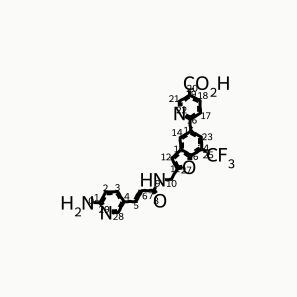 Nc1ccc(/C=C/C(=O)NCc2cc3cc(-c4ccc(C(=O)O)cn4)cc(C(F)(F)F)c3o2)cn1